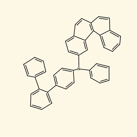 c1ccc(-c2ccccc2-c2ccc(N(c3ccccc3)c3ccc4ccc5ccc6ccccc6c5c4c3)cc2)cc1